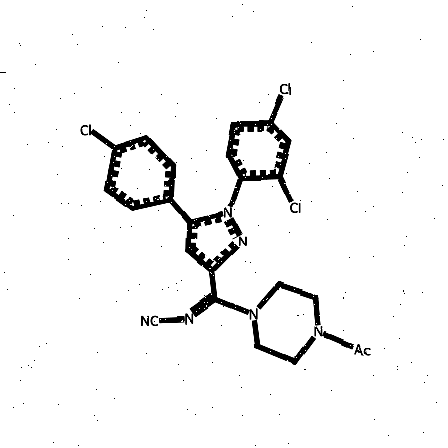 CC(=O)N1CCN(C(=NC#N)c2cc(-c3ccc(Cl)cc3)n(-c3ccc(Cl)cc3Cl)n2)CC1